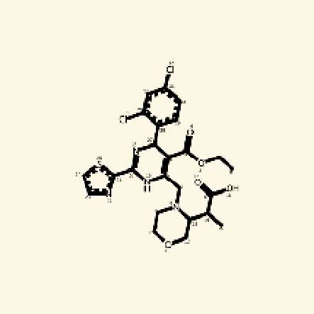 CCOC(=O)C1=C(CN2CCOCC2C(C)C(=O)O)NC(c2nccs2)=NC1c1ccc(Cl)cc1Cl